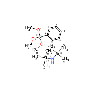 CO[Si](OC)(OC)c1ccccc1.C[Si](C)(C)N[Si](C)(C)C